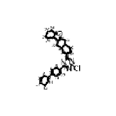 Clc1nc(-c2ccc(-c3ccccc3)cc2)nc(-c2ccc3cc4oc5ccccc5c4cc3c2)n1